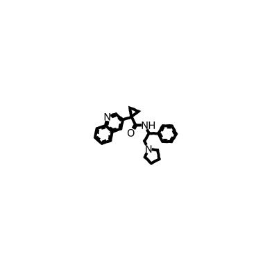 O=C(NC(CN1CCCC1)c1ccccc1)C1(c2cnc3ccccc3c2)CC1